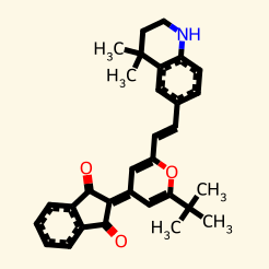 CC(C)(C)C1=CC(=C2C(=O)c3ccccc3C2=O)C=C(C=Cc2ccc3c(c2)C(C)(C)CCN3)O1